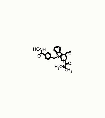 CN(C)C(=O)N1Cc2c(c3ccccc3n2Cc2ccc(C(=O)NO)cc2)C(C=S)C1